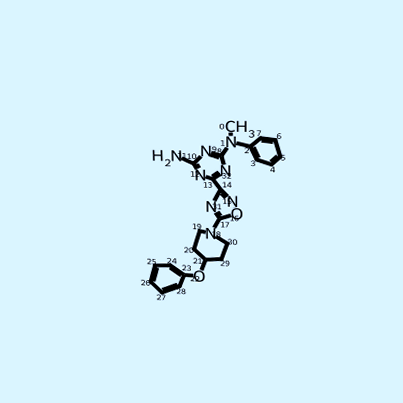 CN(c1ccccc1)c1nc(N)nc(-c2noc(N3CCC(Oc4ccccc4)CC3)n2)n1